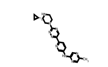 Cc1cnc(Nc2ccc(-c3cnc(N4CCN[C@@H](C5CC5)C4)nn3)nc2)cn1